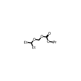 CCC(CC)OCOC(=O)OC(C)C